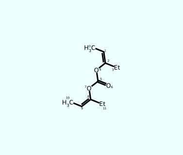 C/C=C(/CC)OC(=O)O/C(=C\C)CC